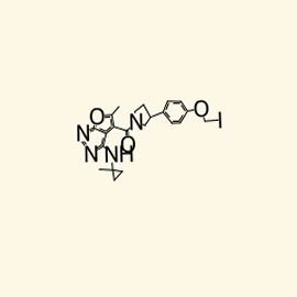 Cc1oc2ncnc(NC3(C)CC3)c2c1C(=O)N1CCC(c2ccc(OCI)cc2)C1